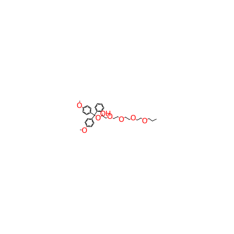 CCCOCCOCCOCCOCC(O)OC(c1ccccc1)(c1ccc(OC)cc1)c1ccc(OC)cc1